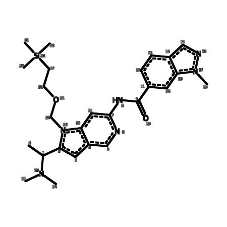 CC(c1cc2cnc(NC(=O)c3ccc4cnn(C)c4c3)cc2n1COCC[Si](C)(C)C)N(C)C